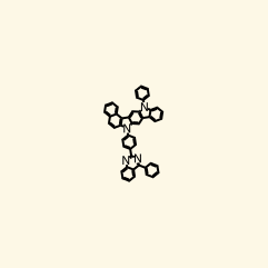 c1ccc(-c2nc(-c3ccc(-n4c5cc6c7ccccc7n(-c7ccccc7)c6cc5c5c6ccccc6ccc54)cc3)nc3ccccc23)cc1